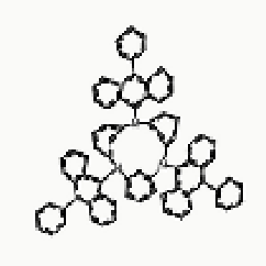 c1ccc(-c2c3ccccc3c(N3c4cccc(c4)N(c4c5ccccc5c(-c5ccccc5)c5ccccc45)c4cccc(c4)N(c4c5ccccc5c(-c5ccccc5)c5ccccc45)c4cccc3c4)c3ccccc23)cc1